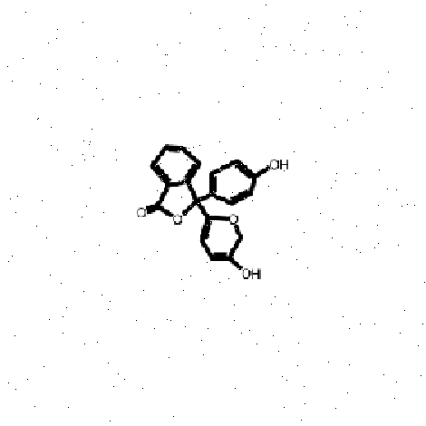 O=C1OC(C2=CC=C(O)CO2)(c2ccc(O)cc2)c2ccccc21